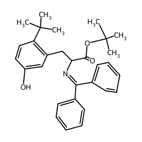 CC(C)(C)OC(=O)C(Cc1cc(O)ccc1C(C)(C)C)N=C(c1ccccc1)c1ccccc1